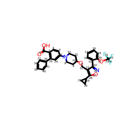 O=C(O)c1ccc(N2CCC(OCc3c(-c4ccccc4OC(F)(F)F)noc3C3CC3)CC2)cc1-c1ccccc1